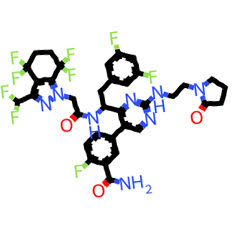 NC(=O)c1cc(-c2cnc(NCCN3CCCC3=O)nc2C(Cc2cc(F)cc(F)c2)NC(=O)Cn2nc(C(F)F)c3c2C(F)(F)CCC3(F)F)ccc1F